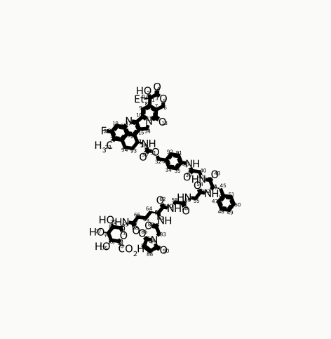 CC[C@@]1(O)C(=O)OCc2c1cc1n(c2=O)Cc2c-1nc1cc(F)c(C)c3c1c2[C@@H](NC(=O)OCc1ccc(NC(=O)CNC(=O)[C@H](Cc2ccccc2)NC(=O)CNC(=O)CNC(=O)[C@H](CCCC(=O)N[C@H]2O[C@H](C(=O)O)[C@@H](O)[C@H](O)[C@H]2O)NC(=O)CN2C(=O)C=CC2=O)cc1)CC3